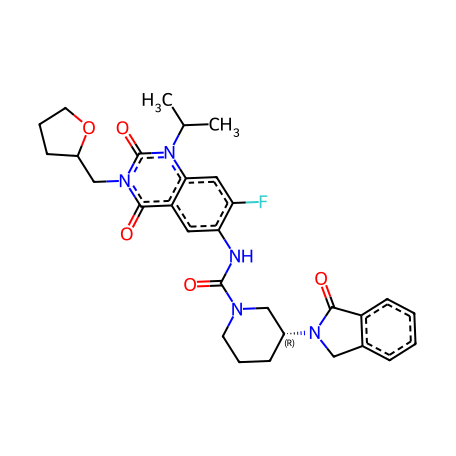 CC(C)n1c(=O)n(CC2CCCO2)c(=O)c2cc(NC(=O)N3CCC[C@@H](N4Cc5ccccc5C4=O)C3)c(F)cc21